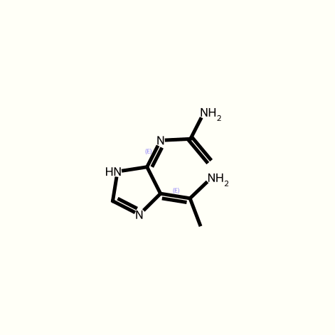 C=C(N)/N=C1/NC=N/C1=C(\C)N